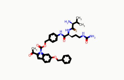 CC(=O)c1cc2ccc(OCc3ccccc3)cc2n1C(=O)OCc1ccc(NC(=O)[C@H](CCCNC(N)=O)NC(=S)[C@@H](N)C(C)C)cc1